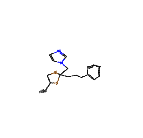 CCCCC1CSC(CCCc2ccccc2)(Cn2ccnc2)S1